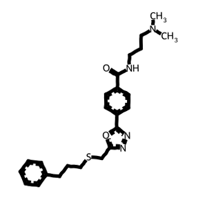 CN(C)CCCNC(=O)c1ccc(-c2nnc(CSCCCc3ccccc3)o2)cc1